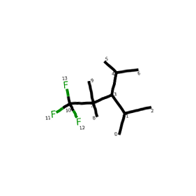 CC(C)C(C(C)C)C(C)(C)C(F)(F)F